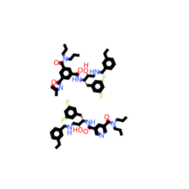 CCCN(CCC)C(=O)c1cc(C(=O)N[C@@H](Cc2cc(F)cc(F)c2)[C@H](O)CNCc2cccc(CC)c2)cc(-c2nc(C)co2)c1.CCCN(CCC)C(=O)c1cncc(C(=O)N[C@@H](Cc2cc(F)cc(F)c2)[C@H](O)CNCc2cccc(CC)c2)c1